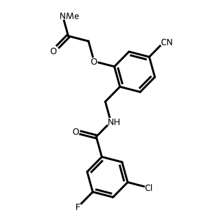 CNC(=O)COc1cc(C#N)ccc1CNC(=O)c1cc(F)cc(Cl)c1